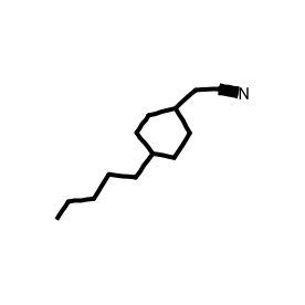 CCCCCC1CCC(CC#N)CC1